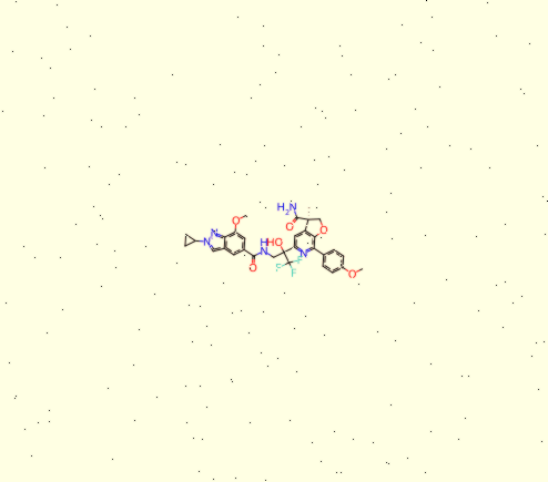 COc1ccc(-c2nc(C(O)(CNC(=O)c3cc(OC)c4nn(C5CC5)cc4c3)C(F)(F)F)cc3c2OC[C@]3(C)C(N)=O)cc1